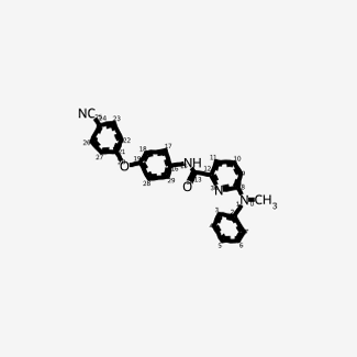 CN(c1ccccc1)c1cccc(C(=O)Nc2ccc(Oc3ccc(C#N)cc3)cc2)n1